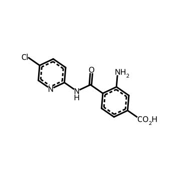 Nc1cc(C(=O)O)ccc1C(=O)Nc1ccc(Cl)cn1